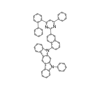 c1ccc(-c2cc(-c3ccccc3-c3ccccc3)nc(-c3ccc4c(-n5c6ccccc6c6cc7c8ccccc8n(-c8ccccc8)c7cc65)cccc4c3)n2)cc1